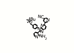 CC(C)(C)[Si](C)(C)OCc1ccc(-n2c(-c3cccnc3N)nc3ccc(-c4cncc(C#N)c4)nc32)cc1